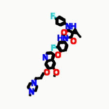 COc1cc2c(Oc3ccc(NC(=O)C4(C(=O)Nc5ccc(F)cc5)C[C@H]4C)cc3F)ccnc2cc1OCCCN1CCN(C)CC1